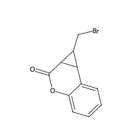 O=C1Oc2ccccc2C2C(CBr)C12